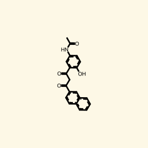 CC(=O)Nc1ccc(O)c(C(=O)CC(=O)c2ccc3ccccc3c2)c1